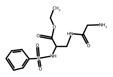 CCOC(=O)C(CNC(=O)CN)NS(=O)(=O)c1ccccc1